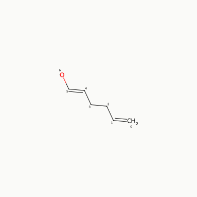 C=CCCC=C[O]